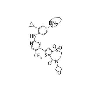 O=C1c2sc(-c3nc(Nc4ccc(N5CC6CCC(C5)N6)cc4C4CC4)ncc3C(F)(F)F)cc2S(=O)(=O)CCN1C1COC1